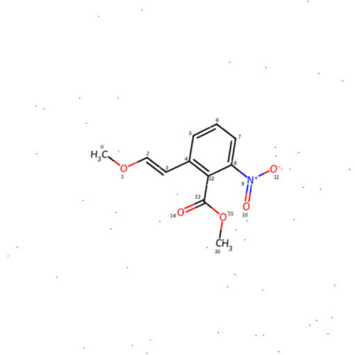 COC=Cc1cccc([N+](=O)[O-])c1C(=O)OC